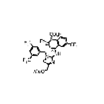 CC[C@@H]1C[C@H](NC2N=C(COC)ON2Cc2cc(C(F)(F)F)cc(C(F)(F)F)c2)c2cc(C(F)(F)F)ccc2N1C(=O)O